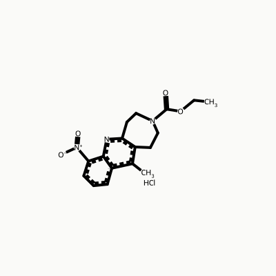 CCOC(=O)N1CCc2nc3c([N+](=O)[O-])cccc3c(C)c2CC1.Cl